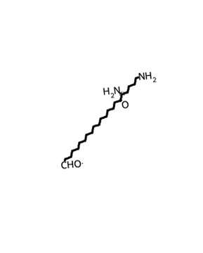 NCCCC[C@H](N)C(=O)CCCCCCCCCCCCCCC[C]=O